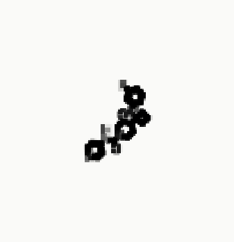 O=C(Nc1ccncc1)N1CCC(C2([S+]([O-])c3cccc(F)c3)CCC2)CC1